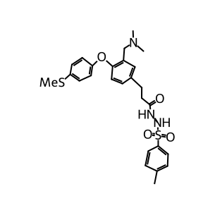 CSc1ccc(Oc2ccc(CCC(=O)NNS(=O)(=O)c3ccc(C)cc3)cc2CN(C)C)cc1